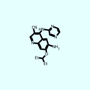 CCC(CC)Oc1cc2ncc(C#N)c(Nc3cnccn3)c2cc1N